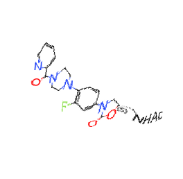 CC(=O)NC[C@H]1CN(c2ccc(N3CCN(C(=O)c4ccccn4)CC3)c(F)c2)C(=O)O1